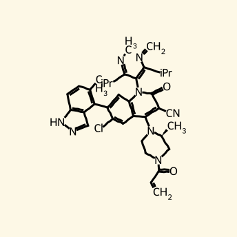 C=CC(=O)N1CCN(c2c(C#N)c(=O)n(C(/C(=N\C)C(C)C)=C(/N=C)C(C)C)c3cc(-c4c(C)ccc5[nH]ncc45)c(Cl)cc23)[C@@H](C)C1